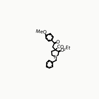 CCOC(=O)C1(CC(=O)c2ccc(OC)cc2)CCN(Cc2ccccc2)CC1=O